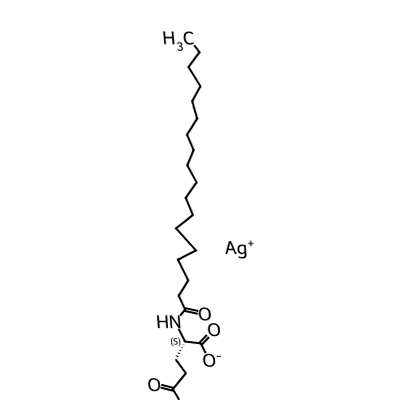 CCCCCCCCCCCCCCCCCC(=O)N[C@@H](CCC(=O)O)C(=O)[O-].[Ag+]